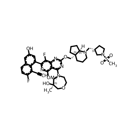 C#Cc1c(F)ccc2cc(O)cc(-c3nc(OC)c4c(N5CCOC[C@@](C)(O)C5)nc(OC[C@]56CCC[C@H]5N(C[C@@H]5CCN(S(C)(=O)=O)C5)CCC6)nc4c3F)c12